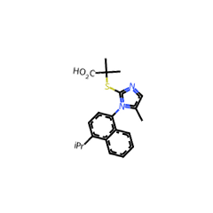 Cc1cnc(SC(C)(C)C(=O)O)n1-c1ccc(C(C)C)c2ccccc12